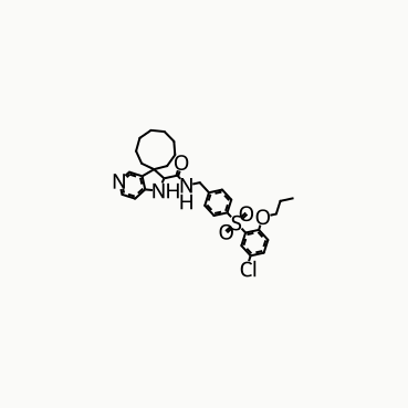 CCCOc1ccc(Cl)cc1S(=O)(=O)c1ccc(CNC(=O)C2Nc3ccncc3C23CCCCCCCC3)cc1